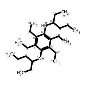 CCCC(CC)Nc1c(CC)c(CC)c(NC(CC)CCC)c(CC)c1CC